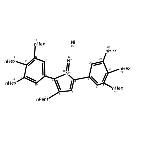 CCCCCCc1cc(C2=CC(CCCCC)=C(c3cc(CCCCCC)c(CCCCCC)c(CCCCCC)c3)[N+]2=[N-])cc(CCCCCC)c1CCCCCC.[Ni]